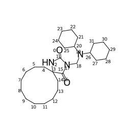 O=C1NC2(CCCCCCCCCCC2)C(=O)N1CN(C1CCCCC1)C1CCCCC1